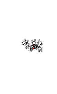 O=C(OC12CC3CC(CC(C3)C1)C2)C(CS(=O)(=O)OS(c1ccccc1)(c1ccccc1)c1ccccc1)C(F)(F)F